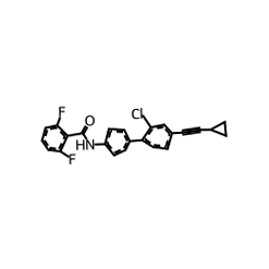 O=C(Nc1ccc(-c2ccc(C#CC3CC3)cc2Cl)cc1)c1c(F)cccc1F